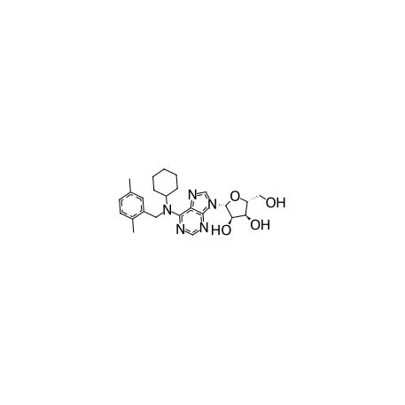 Cc1ccc(C)c(CN(c2ncnc3c2ncn3[C@@H]2O[C@H](CO)[C@@H](O)[C@H]2O)C2CCCCC2)c1